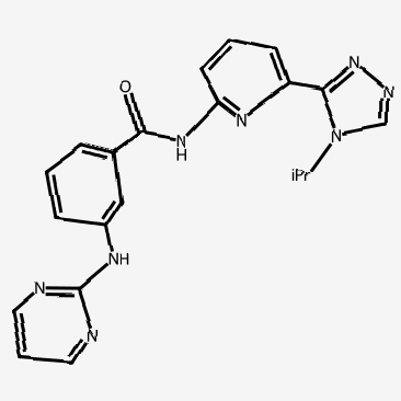 CC(C)n1cnnc1-c1cccc(NC(=O)c2cccc(Nc3ncccn3)c2)n1